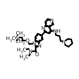 CCN(CC)C(=O)c1nc2cc(-c3cc(NCCCN4CCCCC4)c4cnccc4n3)ccc2n1COCC[Si](C)(C)C